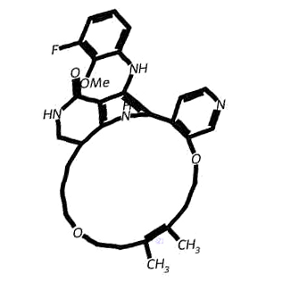 COc1c(F)cccc1Nc1c2[nH]c3c1C(=O)NCC3CCCOCC/C(C)=C(/C)CCOc1cnccc1-2